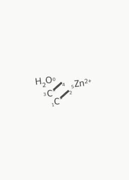 O.[CH2-]C.[CH2-]C.[Zn+2]